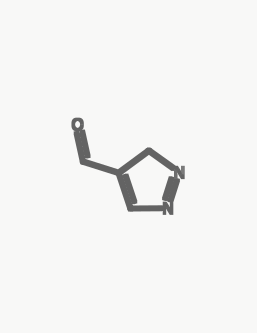 O=CC1=CN=NC1